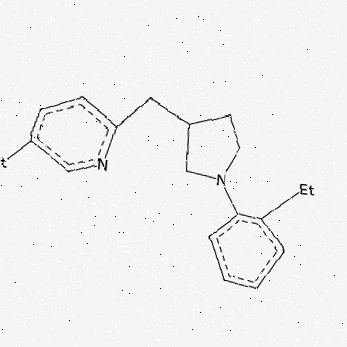 CCc1ccc(CC2CCN(c3ccccc3CC)C2)nc1